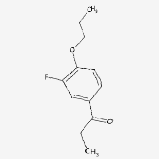 CCCOc1ccc(C(=O)CC)cc1F